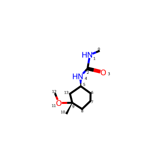 CNC(=O)N[C@H]1CCC[C@](C)(OC)C1